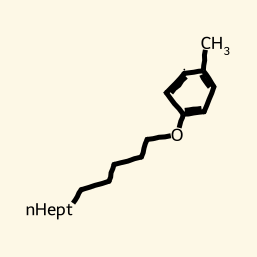 CCCCCCCCCCCCOc1c[c]c(C)cc1